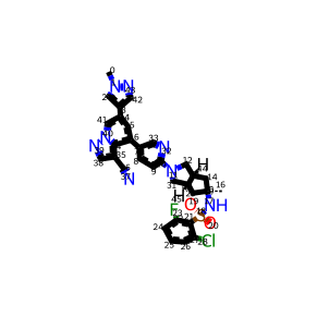 Cn1cc(-c2cc(-c3ccc(N4C[C@@H]5C[C@@](C)(NS(=O)(=O)c6c(F)cccc6Cl)C[C@@H]5C4)nc3)c3c(C#N)cnn3c2)cn1